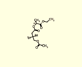 [2H]C([2H])(COC(C)=O)CC(=O)O[C@@H](C)C(=O)OCC